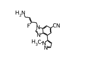 Cn1nccc1-c1cc(C#N)cc2c1ncn2CC(F)=CCN